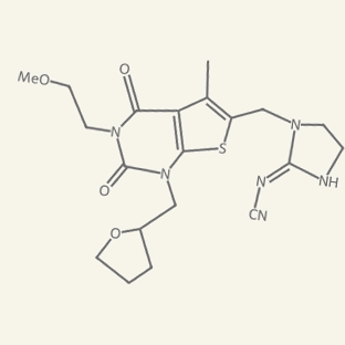 COCCn1c(=O)c2c(C)c(CN3CCN/C3=N\C#N)sc2n(CC2CCCO2)c1=O